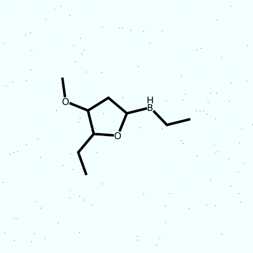 CCBC1CC(OC)C(CC)O1